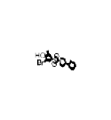 Cc1cc(S(=O)(=O)N2CCC(c3ccccc3)CC2)cc(Br)c1O